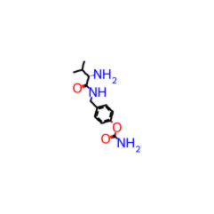 CC(C)[C@H](N)C(=O)NCc1ccc(OC(N)=O)cc1